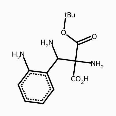 CC(C)(C)OC(=O)C(N)(C(=O)O)C(N)c1ccccc1N